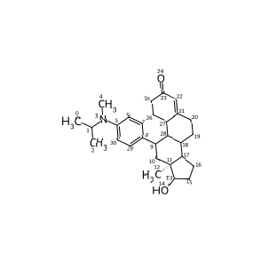 CC(C)N(C)c1ccc(C2C[C@]3(C)C(O)CCC3C3CCC4=CC(=O)CCC4C23)cc1